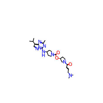 Cc1nc(NC2CCN(C(=O)O[C@H]3CCN(C(=O)/C=C/CN(C)C)C3)CC2)n2ncc(C(C)C)c2n1